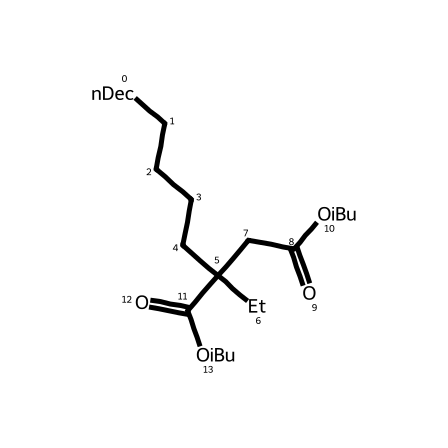 CCCCCCCCCCCCCCC(CC)(CC(=O)OCC(C)C)C(=O)OCC(C)C